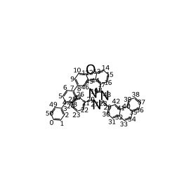 c1ccc(-c2ccc(-c3ccc4oc5cccc(-c6nc(-c7ccccc7)nc(-c7ccc8ccc9ccccc9c8c7)n6)c5c4c3)cc2)cc1